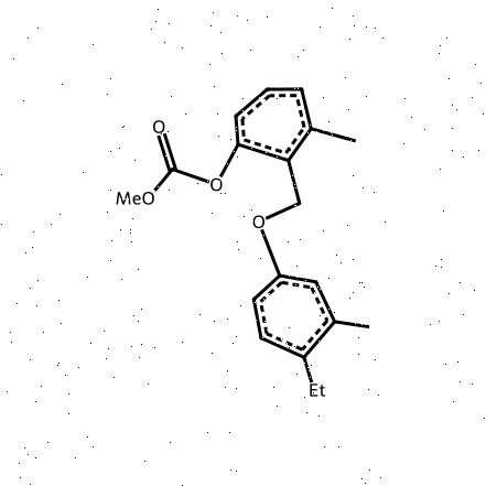 CCc1ccc(OCc2c(C)cccc2OC(=O)OC)cc1C